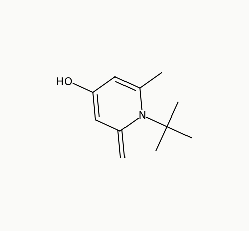 C=C1C=C(O)C=C(C)N1C(C)(C)C